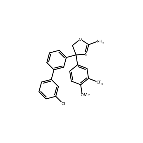 COc1ccc(C2(c3cccc(-c4cccc(Cl)c4)c3)COC(N)=N2)cc1C(F)(F)F